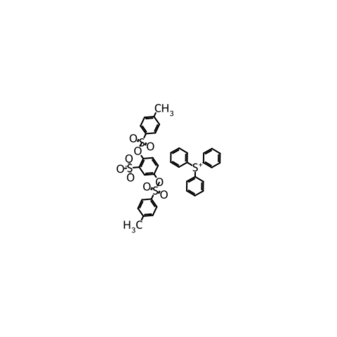 Cc1ccc(S(=O)(=O)Oc2ccc(OS(=O)(=O)c3ccc(C)cc3)c(S(=O)(=O)[O-])c2)cc1.c1ccc([S+](c2ccccc2)c2ccccc2)cc1